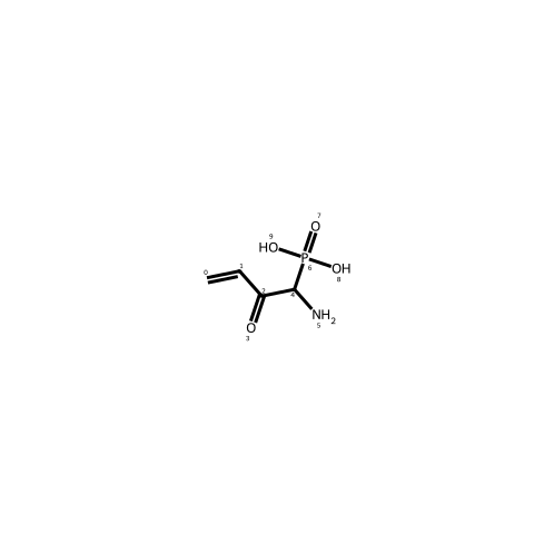 C=CC(=O)C(N)P(=O)(O)O